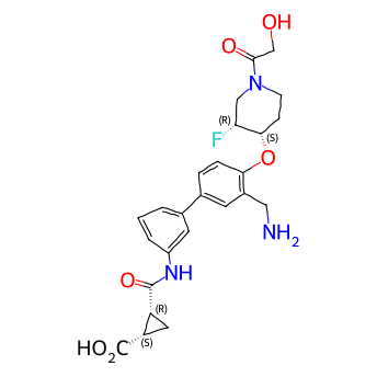 NCc1cc(-c2cccc(NC(=O)[C@@H]3C[C@@H]3C(=O)O)c2)ccc1O[C@H]1CCN(C(=O)CO)C[C@H]1F